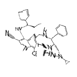 CC[C@@H](Nc1c(C#N)cnc2c(Cl)cc(NC(C3=CN(C4CC4)NN3)c3ccccc3)cc12)c1ccccc1